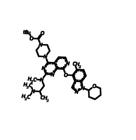 Cc1ccc2c(cnn2C2CCCCO2)c1Oc1nccc2c(N3CCN(C(=O)OC(C)(C)C)CC3)nc(N(C)CC(C)N(C)C)nc12